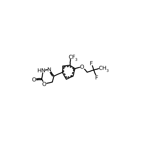 CC(F)(F)COc1ccc(C2=NNC(=O)OC2)cc1C(F)(F)F